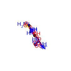 CC(C)[C@@H](C(=O)N[C@@H](Cc1ccc(OCCNC(=O)[C@H](CCCCNC(=O)CN=[N+]=[N-])NC(=O)CCN2C(=O)C=CC2=O)cc1)C(=O)O)N1C=C(COc2ccc3nc(S(N)(=O)=O)sc3c2)NN1